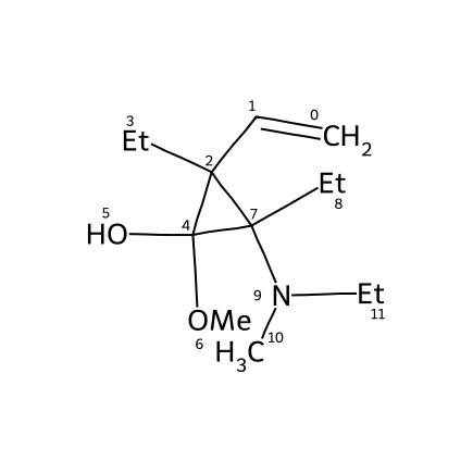 C=CC1(CC)C(O)(OC)C1(CC)N(C)CC